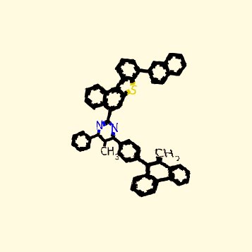 C=C1c2ccccc2-c2ccccc2C1c1ccc(C2=NC(c3cc4sc5c(-c6ccc7ccccc7c6)cccc5c4c4ccccc34)=NC(c3ccccc3)C2C)cc1